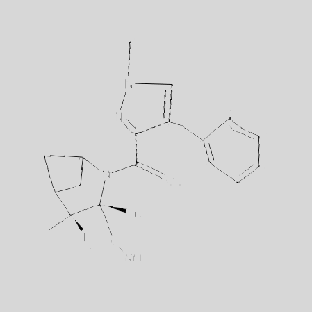 C[C@@H]1C2CC(C2)N(C(=O)c2nn(C)cc2-c2ccccc2)[C@@H]1CN